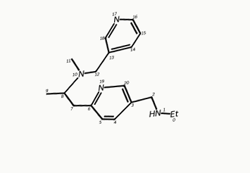 CCNCc1ccc(CC(C)N(C)Cc2cccnc2)nc1